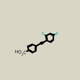 O=C(O)c1ccc(C#Cc2ccc(F)cc2F)cc1